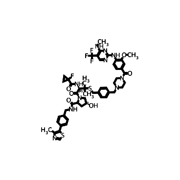 CNc1nc(Nc2ccc(C(=O)N3CCN(Cc4ccc(CSC(C)(C)[C@H](NC(=O)C5(F)CC5)C(=O)N5C[C@H](O)CC5C(=O)NCc5ccc(-c6scnc6C)cc5)cc4)CC3)cc2OC)ncc1C(F)(F)F